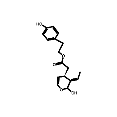 C/C=C1/C(O)OC=C[C@H]1CC(=O)OCCc1ccc(O)cc1